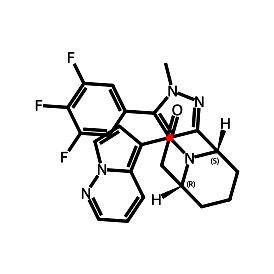 Cn1nc2c(c1-c1cc(F)c(F)c(F)c1)C[C@H]1CCC[C@@H]2N1C(=O)c1ccn2ncccc12